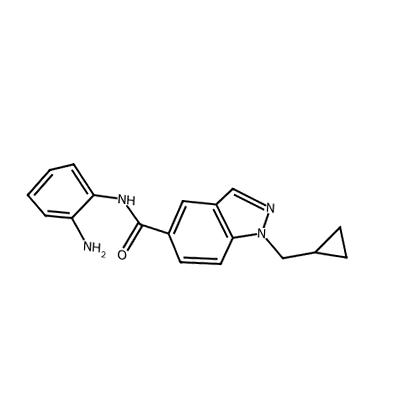 Nc1ccccc1NC(=O)c1ccc2c(cnn2CC2CC2)c1